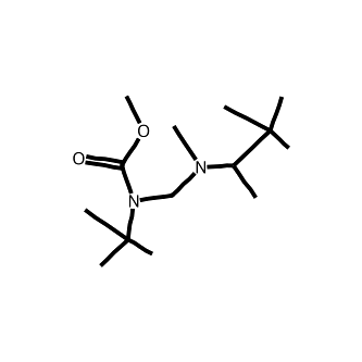 COC(=O)N(CN(C)C(C)C(C)(C)C)C(C)(C)C